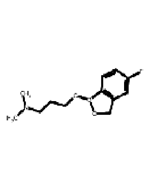 CN(C)CCCOB1OCc2cc(F)ccc21